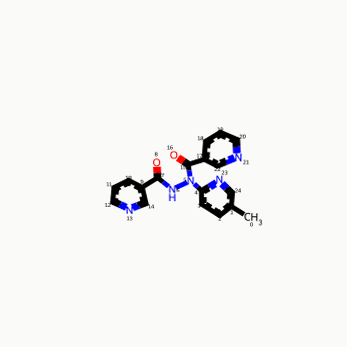 Cc1ccc(N(NC(=O)c2cccnc2)C(=O)c2cccnc2)nc1